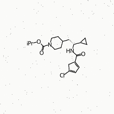 CC(C)OC(=O)N1CCC(C[C@@H](NC(=O)C2=CC=C(Cl)C2)C2CC2)CC1